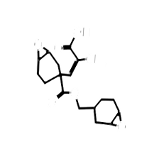 CC(=CC1(C(=O)OCC2CCC3OC3C2)CCC2OC2C1)C(=O)O